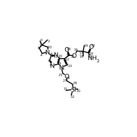 CC1(C)CCN(c2cnc3c(n2)c(C(=O)OCC(C)(C)C(N)=O)cn3COCC[Si](C)(C)C)C1